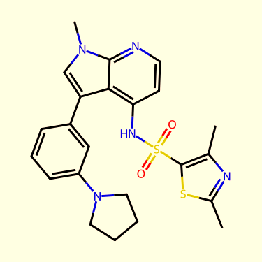 Cc1nc(C)c(S(=O)(=O)Nc2ccnc3c2c(-c2cccc(N4CCCC4)c2)cn3C)s1